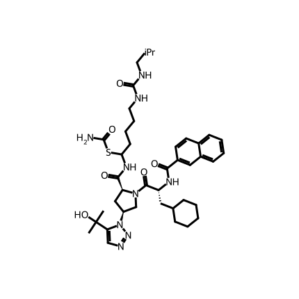 CC(C)CNC(=O)NCCCCC(NC(=O)[C@@H]1C[C@H](n2nncc2C(C)(C)O)CN1C(=O)[C@@H](CC1CCCCC1)NC(=O)c1ccc2ccccc2c1)SC(N)=O